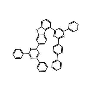 c1ccc(-c2ccc(-c3nc(-c4ccccc4)cc(-c4cccc5sc6cc(-c7nc(-c8ccccc8)nc(-c8ccccc8)n7)ccc6c45)n3)cc2)cc1